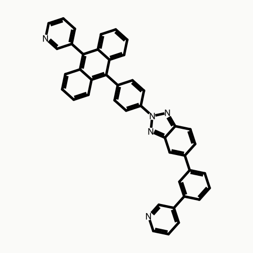 c1cncc(-c2cccc(-c3ccc4nn(-c5ccc(-c6c7ccccc7c(-c7cccnc7)c7ccccc67)cc5)nc4c3)c2)c1